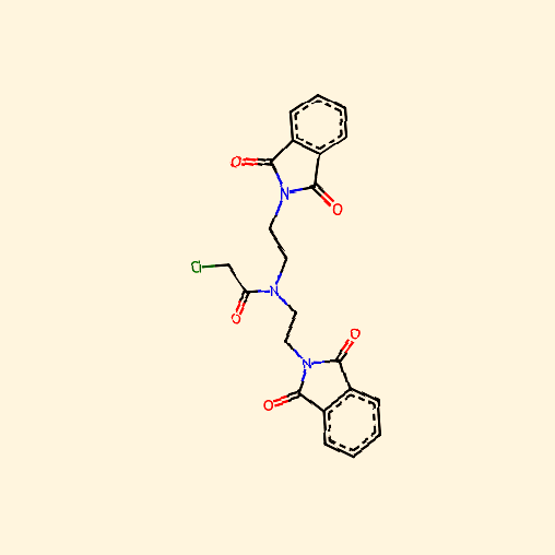 O=C(CCl)N(CCN1C(=O)c2ccccc2C1=O)CCN1C(=O)c2ccccc2C1=O